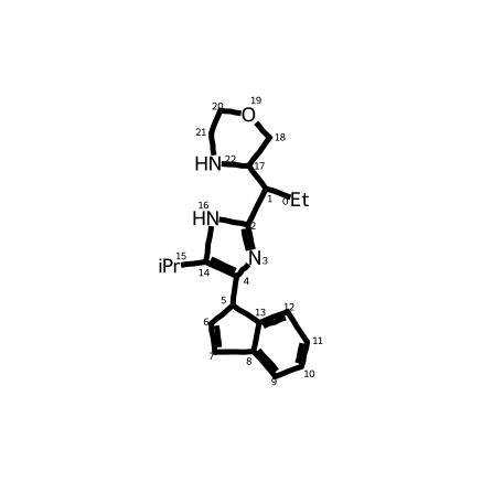 CCC(c1nc(C2C=Cc3ccccc32)c(C(C)C)[nH]1)C1COCCN1